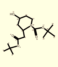 CC(C)(C)OC(=O)CC1CC(O)CCN1C(=O)OC(C)(C)C